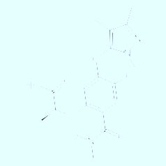 Cc1nn(C)c(Oc2cc(O[C@@H](C)C(=O)O)c(C(=O)N(C)C)cc2Cl)c1C